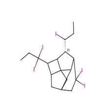 CCC(I)[C@@H]1C2C3C4(CC5C(C(I)(I)CC)C1C53C4)CC2(I)I